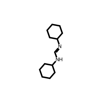 C(=N\C1CCCCC1)/NC1CCCCC1